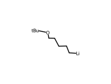 [Li][CH2]CCCCOC(C)(C)C